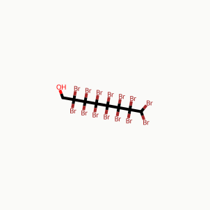 OCC(Br)(Br)C(Br)(Br)C(Br)(Br)C(Br)(Br)C(Br)(Br)C(Br)(Br)C(Br)Br